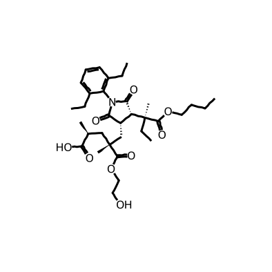 CCCCOC(=O)[C@@](C)(CC)[C@H]1C(=O)N(c2c(CC)cccc2CC)C(=O)[C@H]1C[C@@](C)(C[C@H](C)C(=O)O)C(=O)OCCO